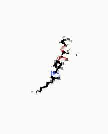 CCCCCCc1cnc(-c2ccc(OC(=O)C(C)OCCC)cc2)nc1